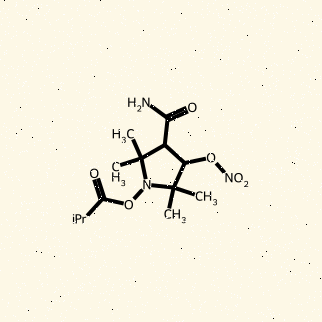 CC(C)C(=O)ON1C(C)(C)C(O[N+](=O)[O-])C(C(N)=O)C1(C)C